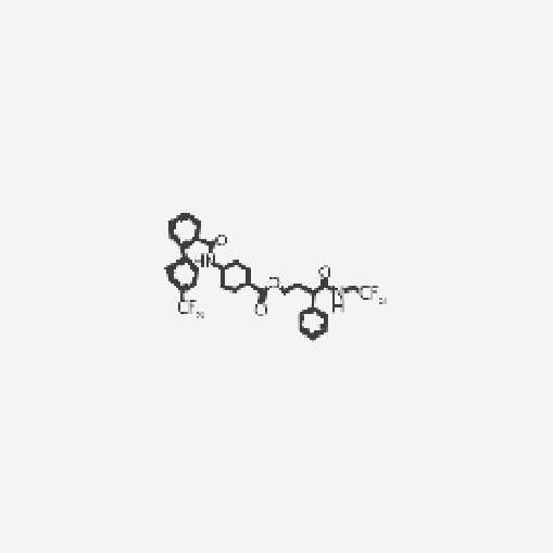 O=C(NC1CCC(C(=O)OCCC(C(=O)NCC(F)(F)F)c2ccccc2)CC1)c1ccccc1-c1ccc(C(F)(F)F)cc1